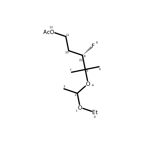 CCOC(C)OC(C)(C)[C@@H](F)CCOC(C)=O